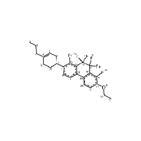 CCCC1=CCC(c2ccc3c(c2F)C(F)(F)C(F)(F)c2c-3ccc(OCC)c2F)CC1